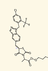 CCCCOOC(=O)C(C)N1C(=O)S/C(=C\c2ccc3c(cnn3Cc3ccc(Cl)cc3C(F)(F)F)c2)C1=O